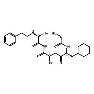 CC[C@H](C)[C@H](NCCc1ccccc1)C(=O)NC(=O)[C@@H](CC(=O)[C@H](CC1CCCCC1)NC(=O)OC(C)(C)C)C(C)C